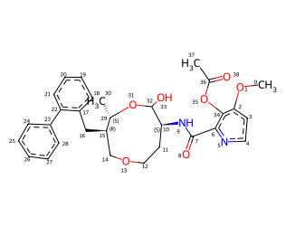 COc1ccnc(C(=O)N[C@H]2CCOC[C@@H](Cc3ccccc3-c3ccccc3)[C@H](C)OC2O)c1OC(C)=O